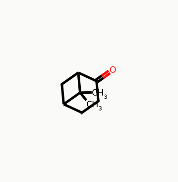 CC1(C)C2[CH]CC(=O)C1C2